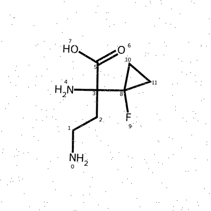 NCCC(N)(C(=O)O)C1(F)CC1